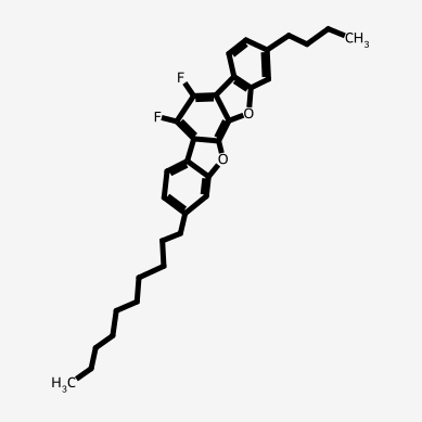 CCCCCCCCCCc1ccc2c(c1)oc1c3oc4cc(CCCC)ccc4c3c(F)c(F)c21